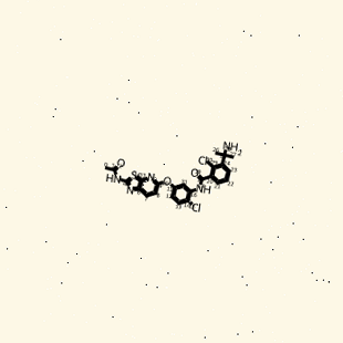 CC(=O)Nc1nc2ccc(Oc3ccc(Cl)c(NC(=O)c4cccc(C(C)(C)N)c4Cl)c3)nc2s1